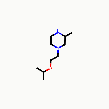 CC1CN(CCOC(C)C)CCN1